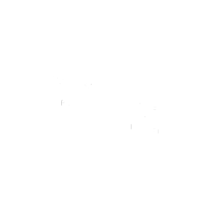 CCC(F)(F)CCCCSC(C(=O)O)C(C)(C)C